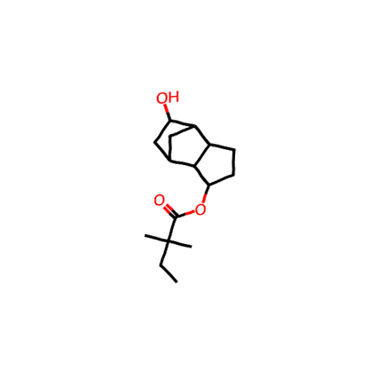 CCC(C)(C)C(=O)OC1CCC2C3CC(CC3O)C12